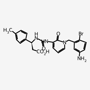 Cc1ccc([C@H](CC(=O)O)NC(=O)Nc2cccn(Cc3cc(N)ccc3Br)c2=O)cc1